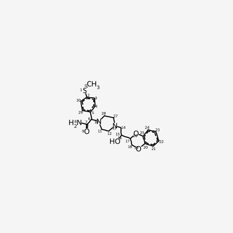 CSc1ccc(C(C(N)=O)N2CCN(CC(O)C3COc4ccccc4O3)CC2)cc1